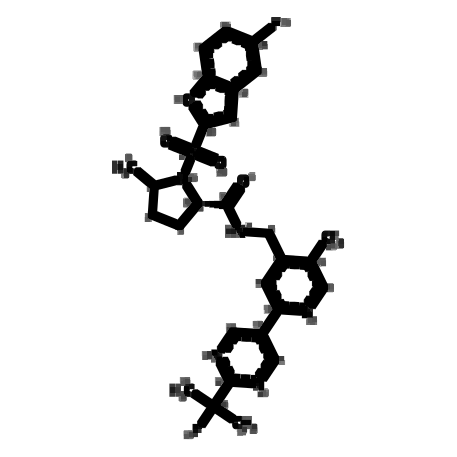 CC1CC[C@@H](C(=O)NCc2cc(-c3cnc(C(C)(C)F)nc3)ncc2C(F)(F)F)N1S(=O)(=O)c1cc2cc(F)ccc2o1